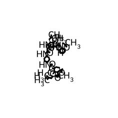 COC1C(OC(=O)N[C@H]2CC[C@H](NC(=O)CNN[C@@H](CC(C)C)C(=O)C(=O)[C@H](Cc3ccccc3)NNCC(C)=O)CC2)CC[C@]2(CO2)C1C1(C)O[C@@H]1CC=C(C)C